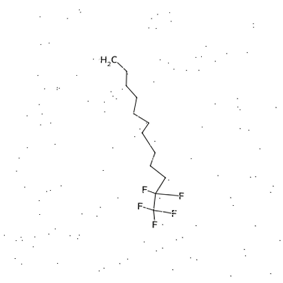 [CH2]CCCCCCCCCC(F)(F)C(F)(F)F